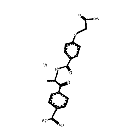 CC(NC(=O)c1ccc(OCC(=O)O)cc1)C(=O)c1ccc(C(=N)N)cc1.I